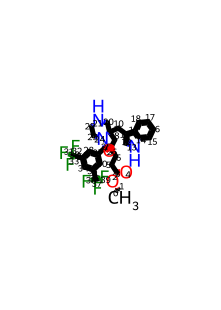 CCOC(=O)CCCCC1(Cc2c[nH]c3ccccc23)CNCCN1C(=O)c1cc(C(F)(F)F)cc(C(F)(F)F)c1